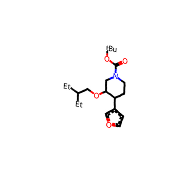 CCC(CC)COC1CN(C(=O)OC(C)(C)C)CCC1c1ccoc1